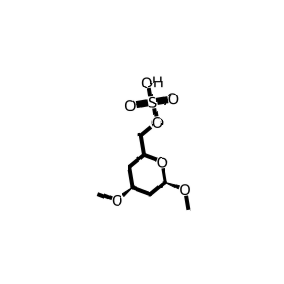 CO[C@H]1CC(COS(=O)(=O)O)O[C@@H](OC)C1